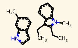 CCc1c(CC)n(C)c2ccccc12.Cc1ccc2cc[nH]c2c1